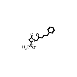 C[S+]([O-])C1CC(=O)N1CC(=O)CCCc1ccccc1